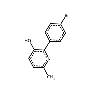 Cc1ccc(O)c(-c2ccc(Br)cc2)n1